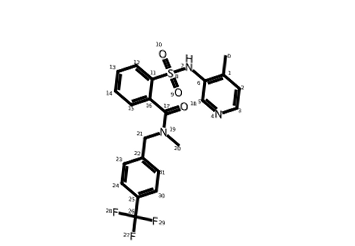 Cc1ccncc1NS(=O)(=O)c1ccccc1C(=O)N(C)Cc1ccc(C(F)(F)F)cc1